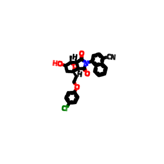 C[C@@]12O[C@@](CCOc3ccc(Cl)cc3)(CC1O)[C@@H]1C(=O)N(c3ccc(C#N)c4ccccc34)C(=O)[C@@H]12